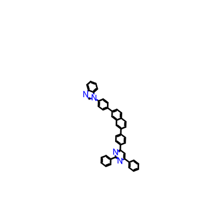 c1ccc(-c2cc(-c3ccc(-c4ccc5ccc(-c6ccc(-n7cnc8ccccc87)cc6)cc5c4)cc3)nc(-c3ccccc3)n2)cc1